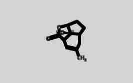 CC1=CC2C(=O)OC3CCC(C1)[C@@]32O